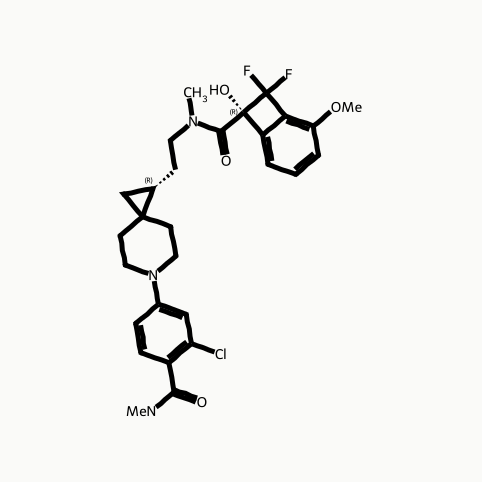 CNC(=O)c1ccc(N2CCC3(CC2)C[C@@H]3CCN(C)C(=O)[C@]2(O)c3cccc(OC)c3C2(F)F)cc1Cl